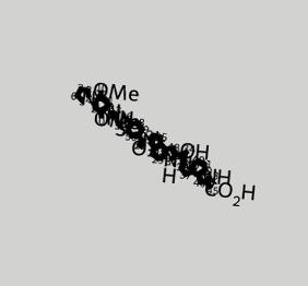 COc1cc(N2CCCC2)c(OC)cc1/N=N/c1nc2ccc(C(=O)N3CCc4c3ccc3[nH]c(C(O)N5CCc6c5ccc5[nH]c(C(=O)O)cc65)cc43)cc2s1